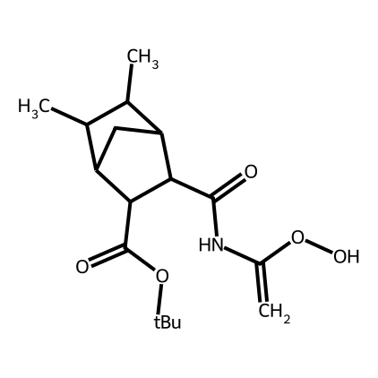 C=C(NC(=O)C1C2CC(C(C)C2C)C1C(=O)OC(C)(C)C)OO